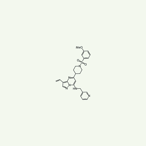 C=Cc1cnn2c(NCc3cccnc3)cc(C3CCN(S(=O)(=O)c4cccc(OC)c4)CC3)nc12